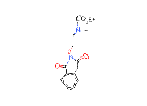 CCOC(=O)N(C)CCON1C(=O)c2ccccc2C1=O